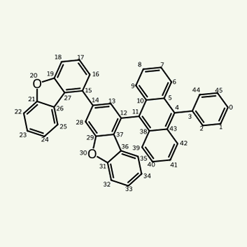 c1ccc(-c2c3ccccc3c(-c3cc(-c4cccc5oc6ccccc6c45)cc4oc5ccccc5c34)c3ccccc23)cc1